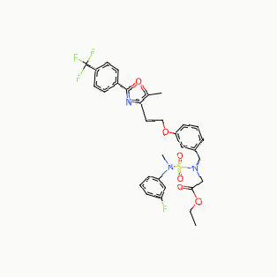 CCOC(=O)CN(Cc1cccc(OCCc2nc(-c3ccc(C(F)(F)F)cc3)oc2C)c1)S(=O)(=O)N(C)c1cccc(F)c1